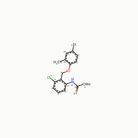 CCc1ccc(OCc2c(Cl)cccc2NC(=S)OC)c(C)c1